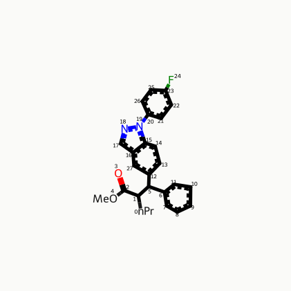 CCCC(C(=O)OC)C(c1ccccc1)c1ccc2c(cnn2-c2ccc(F)cc2)c1